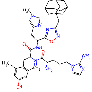 Cc1cc(O)cc(C)c1C[C@H](NC(=O)[C@H](N)CCCn1ccnc1N)C(=O)N[C@@H](Cc1cn(C)cn1)c1nc(CC23CC4CC(CC(C4)C2)C3)no1